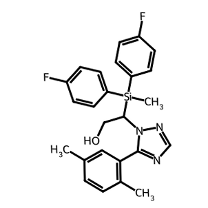 Cc1ccc(C)c(-c2ncnn2C(CO)[Si](C)(c2ccc(F)cc2)c2ccc(F)cc2)c1